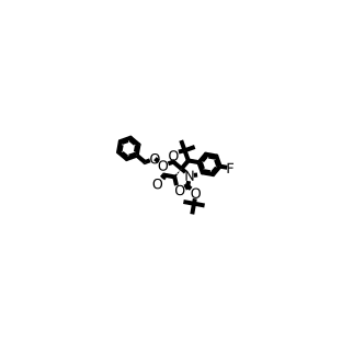 CC(C=O)[C@](C(=O)OOCc1ccccc1)(C(c1ccc(F)cc1)C(C)(C)C)N(C)C(=O)OC(C)(C)C